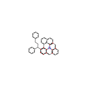 C1=CC2=CC=C3C=CC(C(CCc4ccccc4)c4ccccc4)=C(c4cccc5cccc(N(c6ccccc6)c6ccccc6)c45)C3C2C=C1